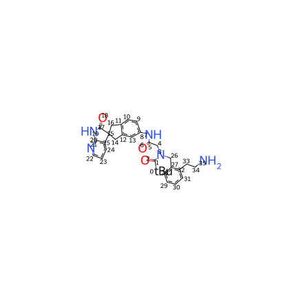 CC(C)(C)C(=O)N(CC(=O)Nc1ccc2c(c1)CC1(C2)C(=O)Nc2ncccc21)Cc1ccccc1CCN